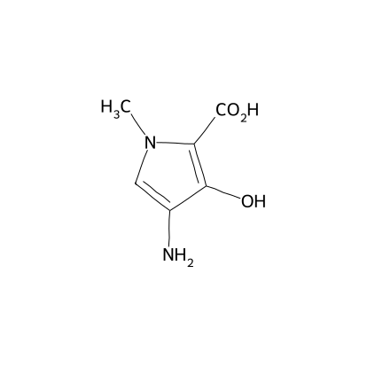 Cn1cc(N)c(O)c1C(=O)O